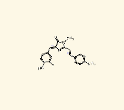 Cc1ccc(/C=C/C2=NC(=C\c3ccc(O)c(F)c3)/C(=O)N2C)cn1